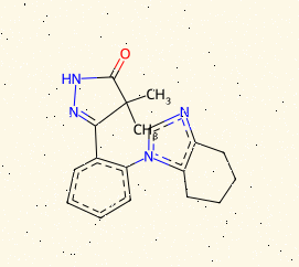 CC1(C)C(=O)NN=C1c1ccccc1-n1cnc2c1CCCC2